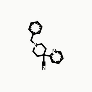 N#CC1(c2ccccn2)CCN(Cc2ccccc2)CC1